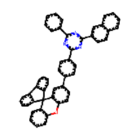 c1ccc(-c2nc(-c3ccc(-c4ccc5c(c4)C4(c6ccccc6O5)c5ccccc5-c5ccccc54)cc3)nc(-c3ccc4ccccc4c3)n2)cc1